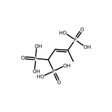 CC(=CC(P(=O)(O)O)P(=O)(O)O)P(=O)(O)O